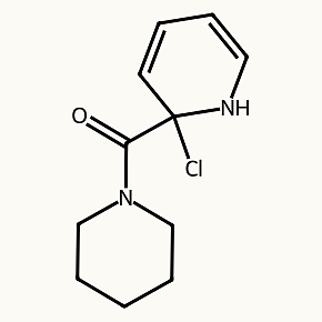 O=C(N1CCCCC1)C1(Cl)C=CC=CN1